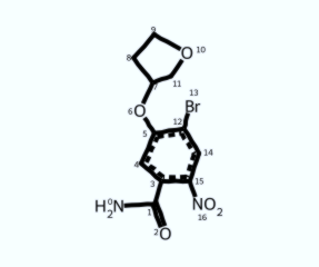 NC(=O)c1cc(OC2CCOC2)c(Br)cc1[N+](=O)[O-]